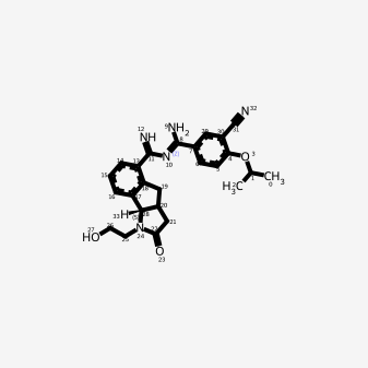 CC(C)Oc1ccc(/C(N)=N/C(=N)c2cccc3c2CC2CC(=O)N(CCO)[C@H]32)cc1C#N